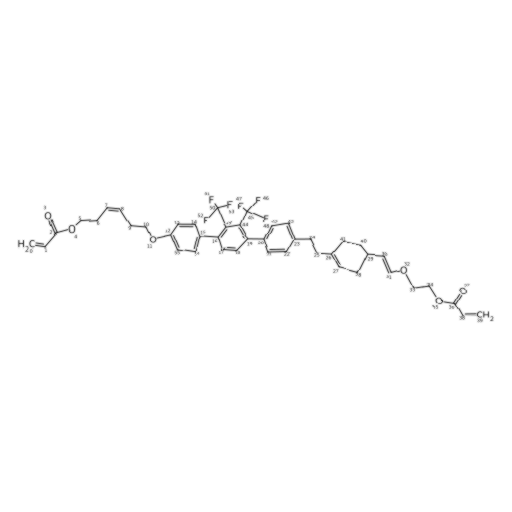 C=CC(=O)OCC/C=C\CCOc1ccc(-c2ccc(-c3ccc(CCC4=CCC(/C=C/OCCOC(=O)C=C)CC4)cc3)c(C(F)(F)F)c2C(F)(F)F)cc1